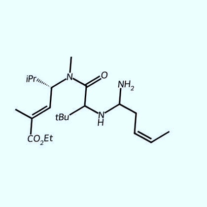 C/C=C\CC(N)NC(C(=O)N(C)[C@H](/C=C(\C)C(=O)OCC)C(C)C)C(C)(C)C